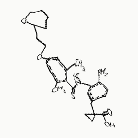 Bc1ccc(C2(C(=O)O)CC2)cc1NC(=S)c1c(C)cc(OCCC2CCCCO2)cc1C